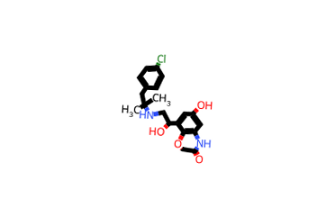 CC(C)(Cc1ccc(Cl)cc1)NCC(O)c1cc(O)cc2c1OCC(=O)N2